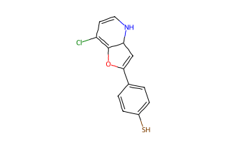 Sc1ccc(C2=CC3NC=CC(Cl)=C3O2)cc1